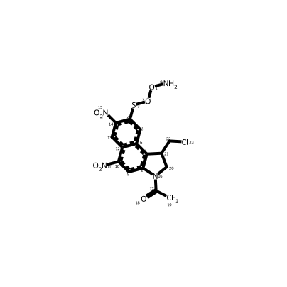 NOOSc1cc2c3c(cc([N+](=O)[O-])c2cc1[N+](=O)[O-])N(C(=O)C(F)(F)F)CC3CCl